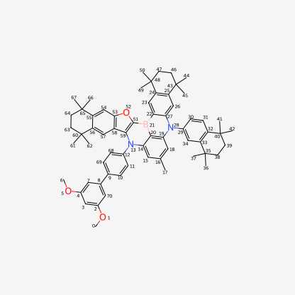 COc1cc(OC)cc(-c2ccc(N3c4cc(C)cc5c4B(c4cc6c(cc4N5c4ccc5c(c4)C(C)(C)CCC5(C)C)C(C)(C)CCC6(C)C)c4oc5cc6c(cc5c43)C(C)(C)CCC6(C)C)cc2)c1